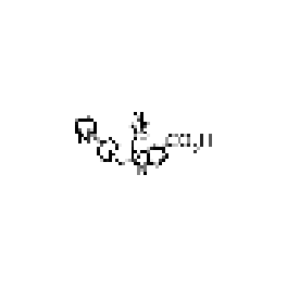 O=C(O)c1ccc2nc(CN3CCC(c4ccccn4)CC3)n(Cc3cncs3)c2c1